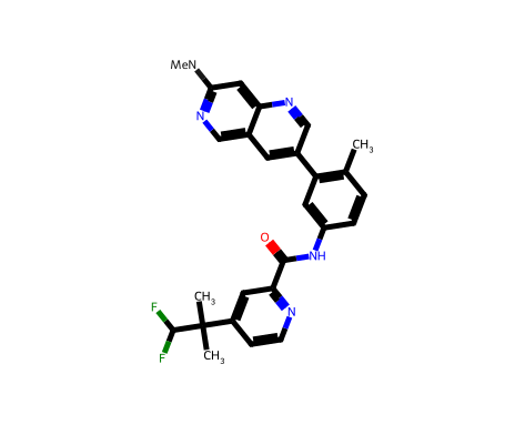 CNc1cc2ncc(-c3cc(NC(=O)c4cc(C(C)(C)C(F)F)ccn4)ccc3C)cc2cn1